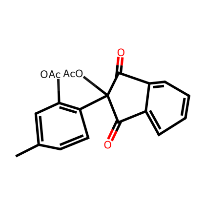 CC(=O)Oc1cc(C)ccc1C1(OC(C)=O)C(=O)c2ccccc2C1=O